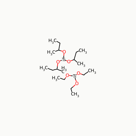 CCC(C)[O][Ti]([O]C(C)CC)[O]C(C)CC.CC[O][Ti]([O]CC)[O]CC